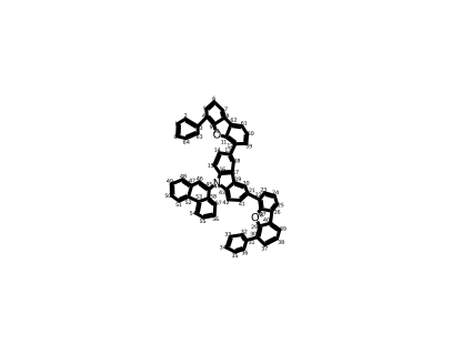 c1ccc(-c2cccc3c2oc2c(-c4ccc5c(c4)c4cc(-c6cccc7c6oc6c(-c8ccccc8)cccc67)ccc4n5-c4cc5ccccc5c5ccccc45)cccc23)cc1